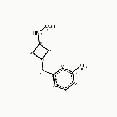 O=C(O)NC1CC(Sc2cccc(C(F)(F)F)c2)C1